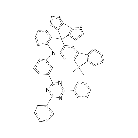 CC1(C)c2ccccc2-c2cc3c(cc21)N(c1cccc(-c2nc(-c4ccccc4)nc(-c4ccccc4)n2)c1)c1ccccc1C31c2ccsc2-c2sccc21